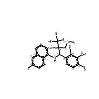 CSCC(O)(C(Nc1cccc2nc(C)ccc12)c1ccc(F)c(O)c1F)C(F)(F)F